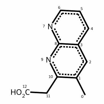 Cc1cc2cccnc2nc1CC(=O)O